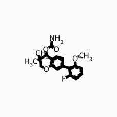 COc1cccc(F)c1-c1ccc2c(c1)OCC(C)(C)C2OC(N)=O